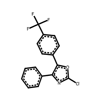 FC(F)(F)c1ccc(-c2oc(Cl)nc2-c2ccccc2)cc1